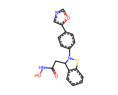 O=C(CC1c2ccccc2SN1c1ccc(-c2cnco2)cc1)NO